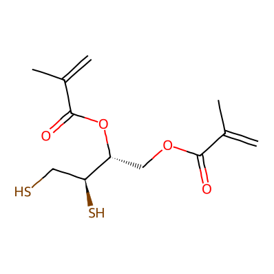 C=C(C)C(=O)OC[C@@H](OC(=O)C(=C)C)[C@@H](S)CS